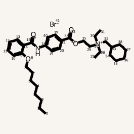 CCCCCCCCOc1ccccc1C(=O)Nc1ccc(C(=O)OCC[N+](CC)(CC)CC2CCCCC2)cc1.[Br-]